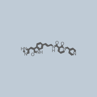 O=C1Nc2cc(C=CCNC(=O)c3cccn(Cc4ccncc4)c3=O)ccc2C1=Cc1cnc[nH]1